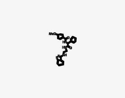 COc1ccc(C(=O)NC(C(=O)NCCNc2nsc3ccccc23)c2ccccc2)cc1